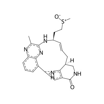 Cc1nc2cccc3c2nc1N[C@@H](CC[S+](C)[O-])/C=C/C[C@H]1CNC(=O)c2cc-3[nH]c21